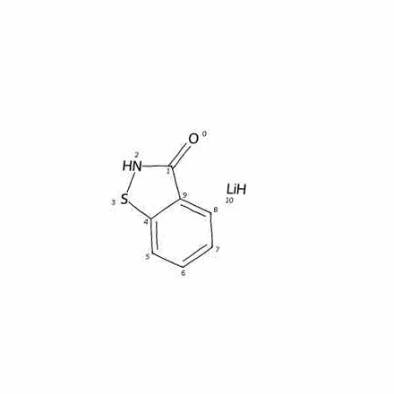 O=c1[nH]sc2ccccc12.[LiH]